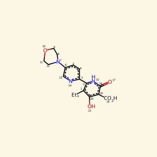 CCc1c(-c2ccc(N3CCOCC3)cn2)[nH]c(=O)c(C(=O)O)c1O